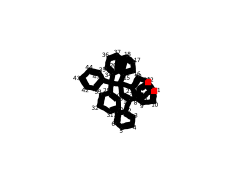 C(=C(c1ccccc1)c1ccccc1)C(c1ccccc1)(c1ccccc1)C(c1ccccc1)(c1ccccc1)c1ccccc1